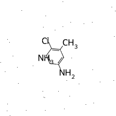 Cc1cc(N)ccc1Cl.N